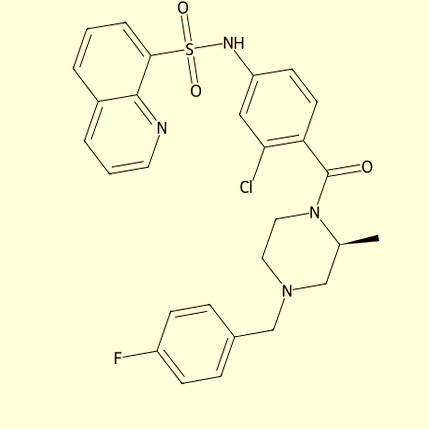 C[C@H]1CN(Cc2ccc(F)cc2)CCN1C(=O)c1ccc(NS(=O)(=O)c2cccc3cccnc23)cc1Cl